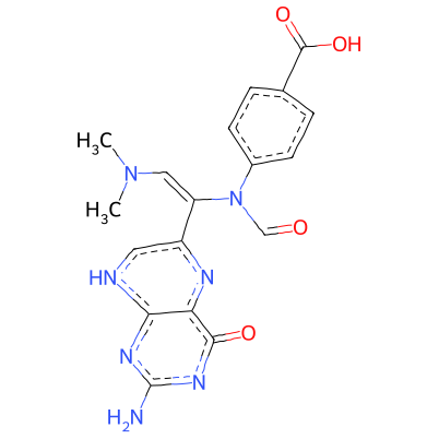 CN(C)/C=C(\c1c[nH]c2nc(N)nc(=O)c-2n1)N(C=O)c1ccc(C(=O)O)cc1